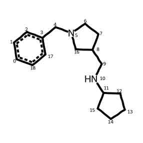 c1ccc(CN2CCC(CNC3CCCC3)C2)cc1